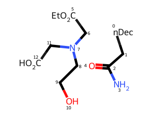 CCCCCCCCCCCC(N)=O.CCOC(=O)CN(CCO)CC(=O)O